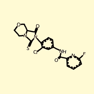 O=C(Nc1ccc(N2C(=O)C3COCCN3C2=S)c(Cl)c1)c1cccc(F)n1